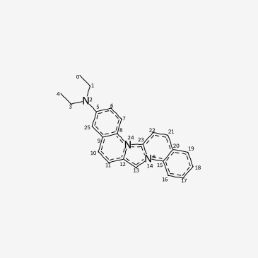 CCN(CC)c1ccc2c(ccc3c[n+]4c5ccccc5ccc4n32)c1